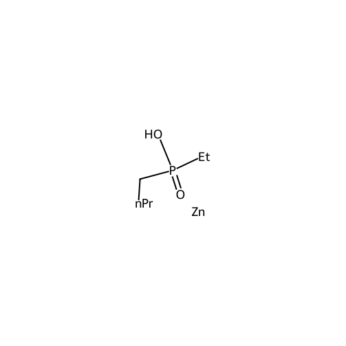 CCCCP(=O)(O)CC.[Zn]